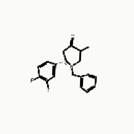 CC1CN(Cc2ccccc2)[C@H](c2ccc(F)c(F)c2)CC1=O